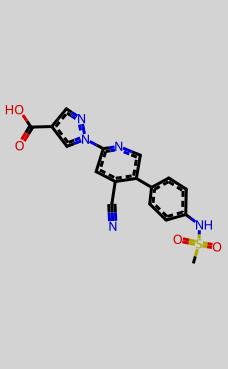 CS(=O)(=O)Nc1ccc(-c2cnc(-n3cc(C(=O)O)cn3)cc2C#N)cc1